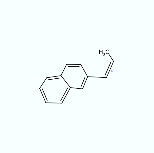 C/C=C\c1ccc2ccccc2c1